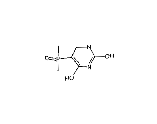 CP(C)(=O)c1cnc(O)nc1O